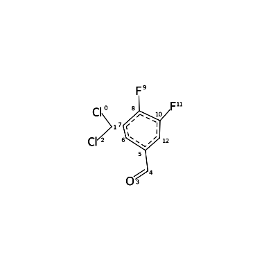 ClCCl.O=Cc1ccc(F)c(F)c1